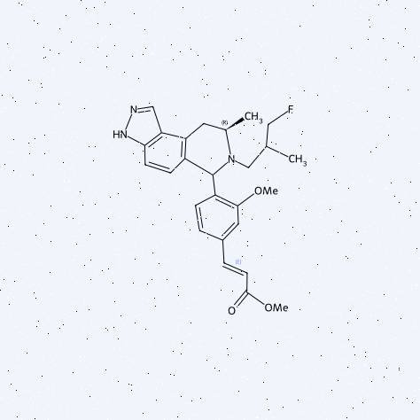 COC(=O)/C=C/c1ccc(C2c3ccc4[nH]ncc4c3C[C@@H](C)N2CC(C)CF)c(OC)c1